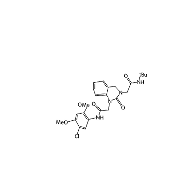 COc1cc(OC)c(NC(=O)CN2C(=O)N(CC(=O)NC(C)(C)C)Cc3ccccc32)cc1Cl